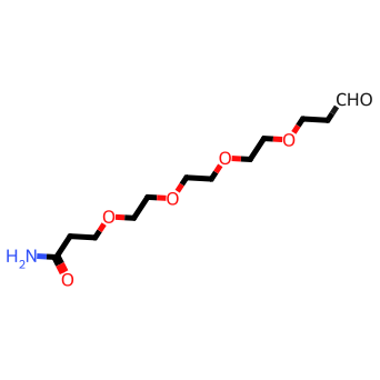 NC(=O)CCOCCOCCOCCOCCC=O